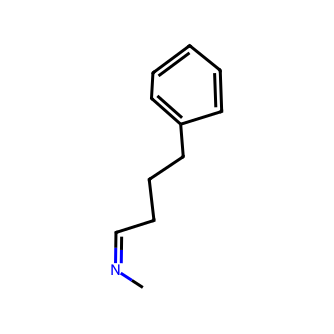 C/N=C\CCCc1ccccc1